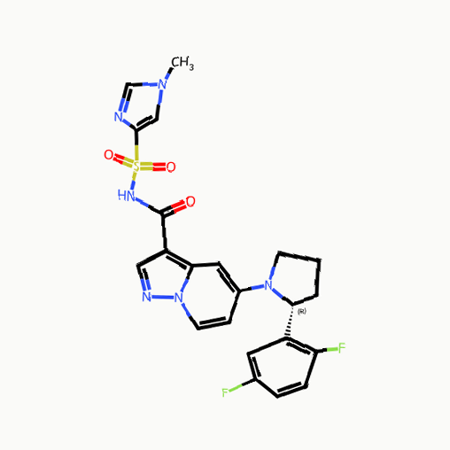 Cn1cnc(S(=O)(=O)NC(=O)c2cnn3ccc(N4CCC[C@@H]4c4cc(F)ccc4F)cc23)c1